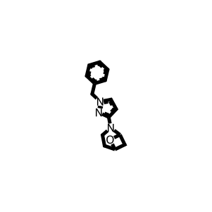 c1ccc(Cn2ccc(N3CCC4CC3O4)n2)cc1